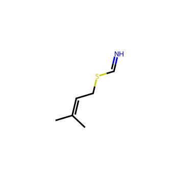 CC(C)=CCSC=N